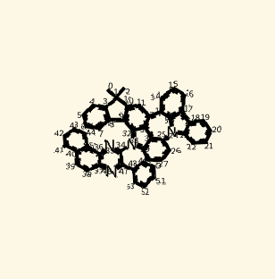 CC1(C)c2ccccc2-c2c1cc1c3cccc4c5ccccc5n(c5cccc6c5c1c2n6-c1nc2c(ccc5ccccc52)nc1-c1ccccc1)c34